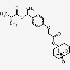 C=C(C)C(=O)OC(C)c1ccc(OCC(=O)OC23CC4CC(C2)OC(=O)C(C4)C3)cc1